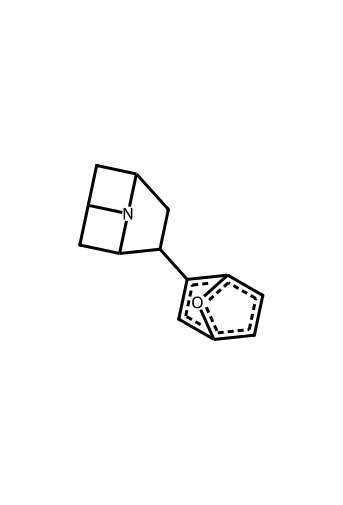 c1cc2oc1cc2C1CC2CC3CC1N23